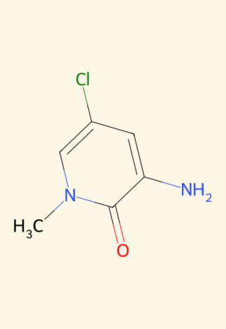 Cn1cc(Cl)cc(N)c1=O